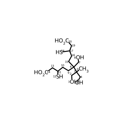 CC(CO)(CO)C(CO)(CCC(S)CC(=O)O)CCC(S)CC(=O)O